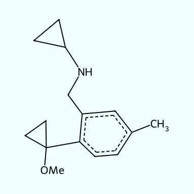 COC1(c2ccc(C)cc2CNC2CC2)CC1